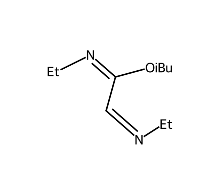 CC/N=C\C(=N/CC)OCC(C)C